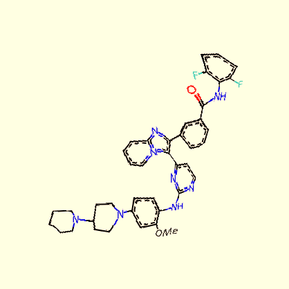 COc1cc(N2CCC(N3CCCCC3)CC2)ccc1Nc1nccc(-c2c(-c3cccc(C(=O)Nc4c(F)cccc4F)c3)nc3ccccn23)n1